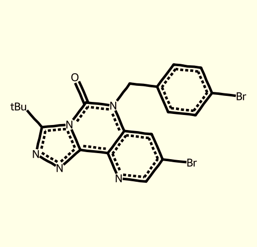 CC(C)(C)c1nnc2c3ncc(Br)cc3n(Cc3ccc(Br)cc3)c(=O)n12